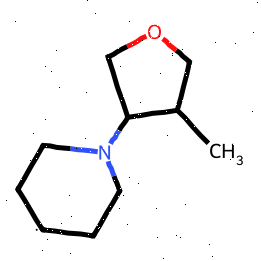 CC1COCC1N1CC[CH]CC1